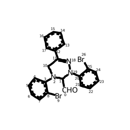 O=CC1N(c2ccccc2Br)CC(c2ccccc2)=NN1c1ccccc1Br